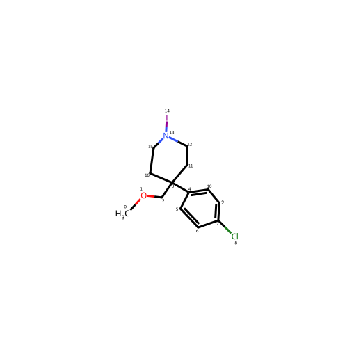 COCC1(c2ccc(Cl)cc2)CCN(I)CC1